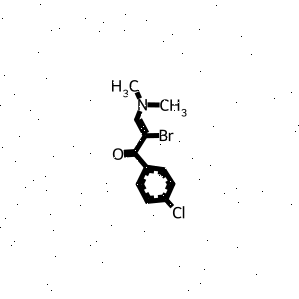 CN(C)C=C(Br)C(=O)c1ccc(Cl)cc1